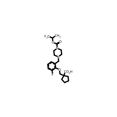 CC(OC(=O)N1CCN(Cc2cccc(F)c2OCC2(C(=O)O)CCCC2)CC1)C(F)(F)F